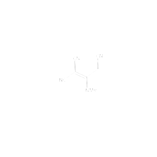 CNC(CC#N)=C(C#N)C#N